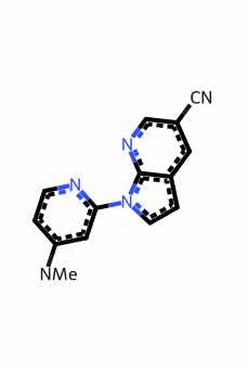 CNc1ccnc(-n2ccc3cc(C#N)cnc32)c1